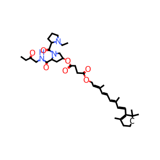 CCC(=O)CNC(=O)C1CC(OC(=O)CCC(=O)OC/C=C(C)/C=C/C=C(C)/C=C/C2=C(C)CCCC2(C)C)CN1C(=O)C1CCCN1CC